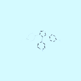 CC(C)N1CCC(c2c[nH]c(-c3ccc(F)cc3)c2-c2ccncc2)CC1